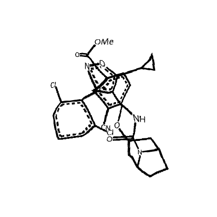 COC(=O)c1ccc(NC(=O)N2C3CCC2CC(OCc2c(-c4c(Cl)cccc4Cl)noc2C2CC2)C3)c(C#N)c1